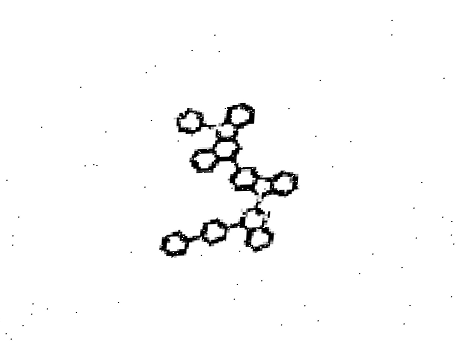 c1ccc(-c2ccc(-c3nc(-n4c5ccccc5c5cc(-c6cc7c8ccccc8n(-c8ccccc8)c7c7ccccc67)ccc54)nc4ccccc34)cc2)cc1